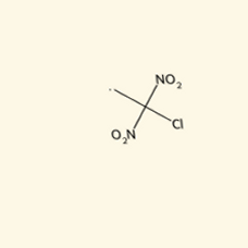 [CH2]C(Cl)([N+](=O)[O-])[N+](=O)[O-]